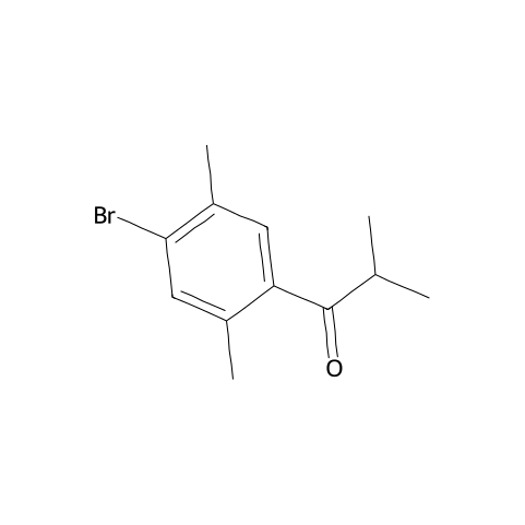 Cc1cc(C(=O)C(C)C)c(C)cc1Br